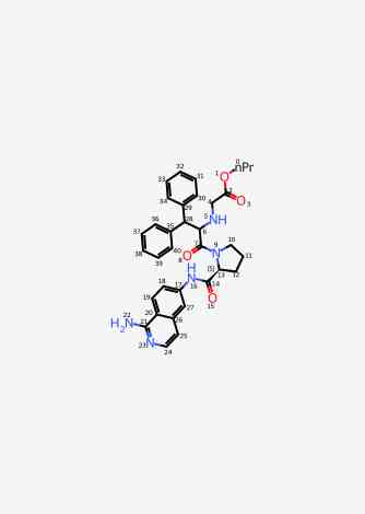 CCCOC(=O)CNC(C(=O)N1CCC[C@H]1C(=O)Nc1ccc2c(N)nccc2c1)C(c1ccccc1)c1ccccc1